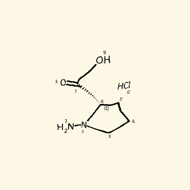 Cl.NN1CCC[C@H]1C(=O)O